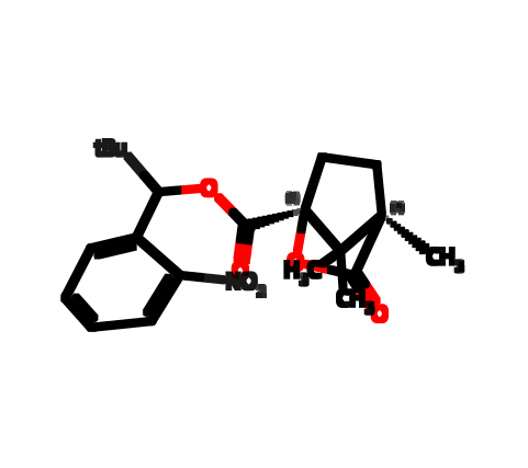 CC(C)(C)C(OC(=O)[C@@]12CC[C@@](C)(C(=O)O1)C2(C)C)c1ccccc1[N+](=O)[O-]